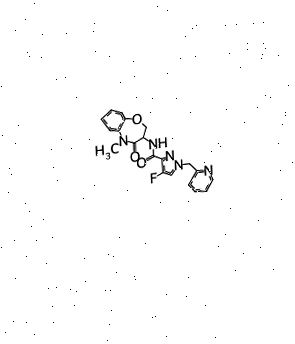 CN1C(=O)C(NC(=O)c2nn(Cc3ccccn3)cc2F)COc2ccccc21